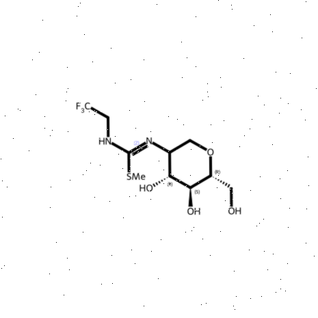 CS/C(=N\C1CO[C@H](CO)[C@@H](O)[C@@H]1O)NCC(F)(F)F